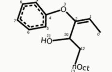 CC=C(Oc1ccccc1)C(O)CCCCCCCCC